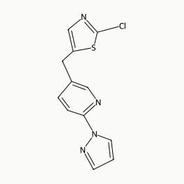 Clc1ncc(Cc2ccc(-n3cccn3)nc2)s1